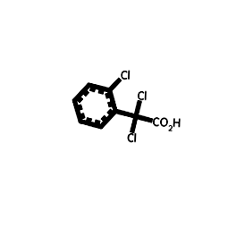 O=C(O)C(Cl)(Cl)c1ccccc1Cl